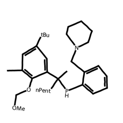 CCCCCC(C)(Pc1ccccc1CN1CCCCC1)c1cc(C(C)(C)C)cc(C)c1OCOC